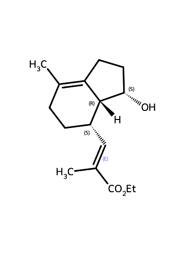 CCOC(=O)/C(C)=C/[C@@H]1CCC(C)=C2CC[C@H](O)[C@@H]21